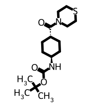 CC(C)(C)OC(=O)N[C@H]1CC[C@H](C(=O)N2CCSCC2)CC1